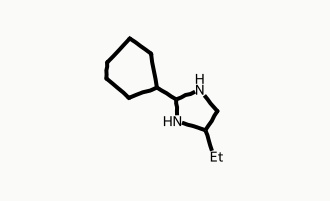 CCC1CNC(C2CCCCC2)N1